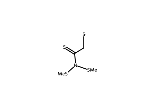 CSN(SC)C(=S)C[S]